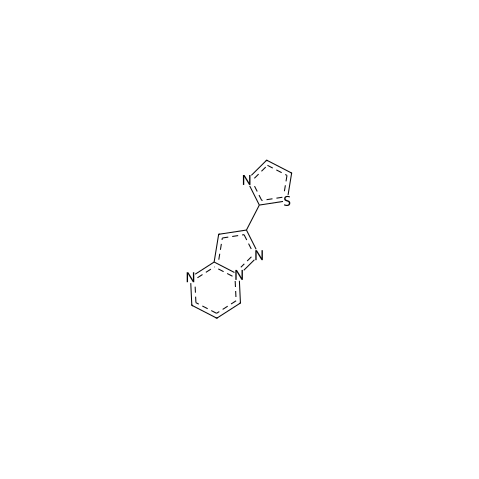 c1cnc2cc(-c3nccs3)nn2c1